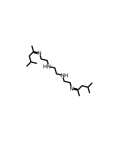 CC(CC(C)C)=NCCNCCNCCN=C(C)CC(C)C